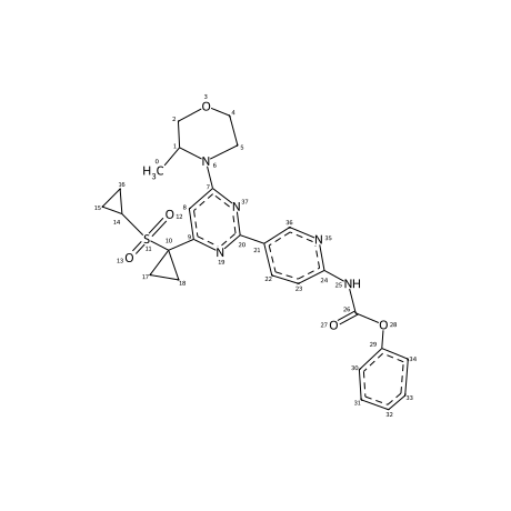 CC1COCCN1c1cc(C2(S(=O)(=O)C3CC3)CC2)nc(-c2ccc(NC(=O)Oc3ccccc3)nc2)n1